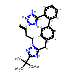 C=CCCn1nc(C(CCC)(OC)OC)nc1Cc1ccc(-c2ccccc2-c2nnn[nH]2)cc1